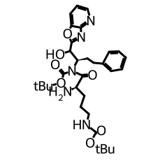 CC(C)(C)OC(=O)NCCC[C@@H](N)C(=O)N(C(=O)OC(C)(C)C)[C@H](CCc1ccccc1)C(O)c1nc2ncccc2o1